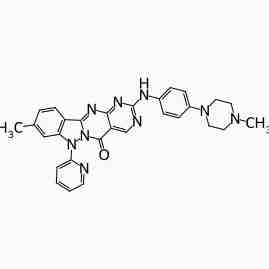 Cc1ccc2c(c1)n(-c1ccccn1)n1c(=O)c3cnc(Nc4ccc(N5CCN(C)CC5)cc4)nc3nc21